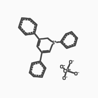 C1=C(c2ccccc2)C=C(c2ccccc2)C[S+]1c1ccccc1.[O-][Cl+3]([O-])([O-])[O-]